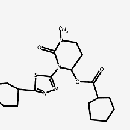 CN1CCC(OC(=O)C2CCCCC2)N(c2nnc(C3CCCCC3)s2)C1=O